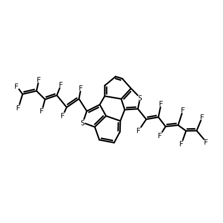 FC(F)=C(F)/C(F)=C(F)/C(F)=C(\F)c1sc2cccc3c4c(/C(F)=C(F)/C(F)=C(\F)C(F)=C(F)F)sc5cccc(c1c23)c54